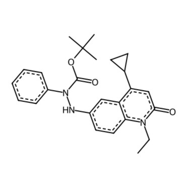 CCn1c(=O)cc(C2CC2)c2cc(NN(C(=O)OC(C)(C)C)c3ccccc3)ccc21